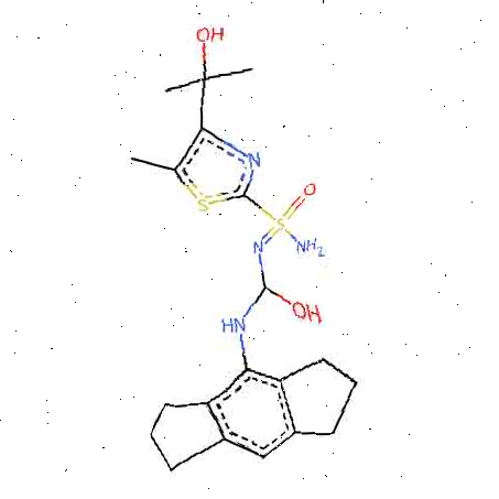 Cc1sc(S(N)(=O)=NC(O)Nc2c3c(cc4c2CCC4)CCC3)nc1C(C)(C)O